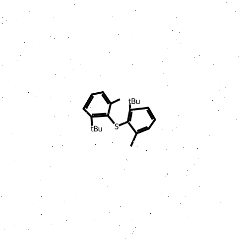 Cc1cccc(C(C)(C)C)c1Sc1c(C)cccc1C(C)(C)C